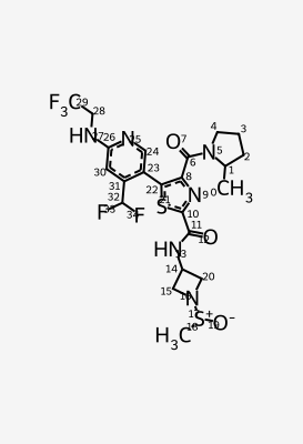 CC1CCCN1C(=O)c1nc(C(=O)NC2CN([S+](C)[O-])C2)sc1-c1cnc(NCC(F)(F)F)cc1C(F)F